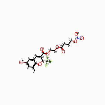 Cc1cc(Br)cc2c1O[C@H](C(F)(F)F)C(C(=O)OCCOC(=O)CCCO[N+](=O)[O-])=C2